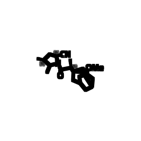 COC12CC3CC(C1)CC([C@H](C)C(=O)N1C(C)[C@@H](C)C[C@H]1C#N)(C3)C2